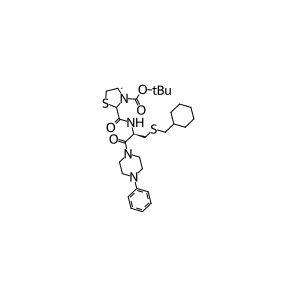 CC(C)(C)OC(=O)N1[CH]CSC1C(=O)N[C@@H](CSCC1CCCCC1)C(=O)N1CCN(c2ccccc2)CC1